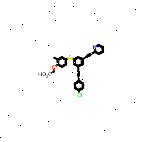 Cc1cc(Sc2cc(C#Cc3ccc(Cl)cc3)cc(C#Cc3ccccn3)c2)ccc1OCC(=O)O